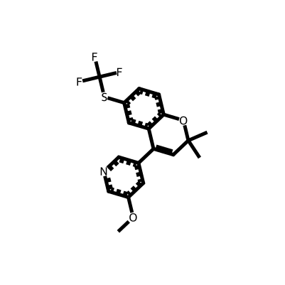 COc1cncc(C2=CC(C)(C)Oc3ccc(SC(F)(F)F)cc32)c1